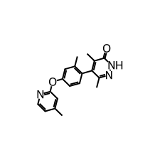 Cc1ccnc(Oc2ccc(-c3c(C)n[nH]c(=O)c3C)c(C)c2)c1